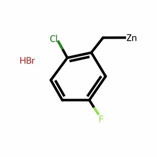 Br.Fc1ccc(Cl)c([CH2][Zn])c1